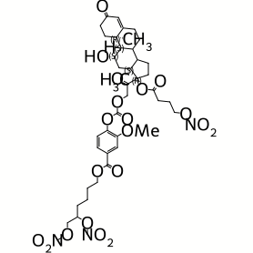 COc1cc(C(=O)OCCCCC(CO[N+](=O)[O-])O[N+](=O)[O-])ccc1OC(=O)OCC(=O)[C@@]1(OC(=O)CCCO[N+](=O)[O-])CCC2C3CCC4=CC(=O)CC[C@]4(C)[C@H]3[C@@H](O)C[C@@]21C